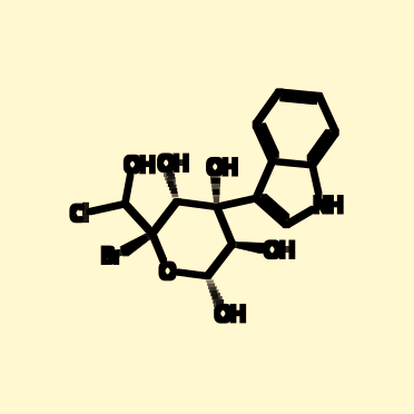 OC(Cl)[C@@]1(Br)O[C@@H](O)[C@H](O)[C@](O)(c2c[nH]c3ccccc23)[C@H]1O